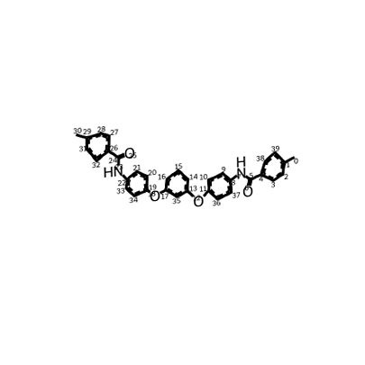 Cc1ccc(C(=O)Nc2ccc(Oc3cccc(Oc4ccc(NC(=O)c5ccc(C)cc5)cc4)c3)cc2)cc1